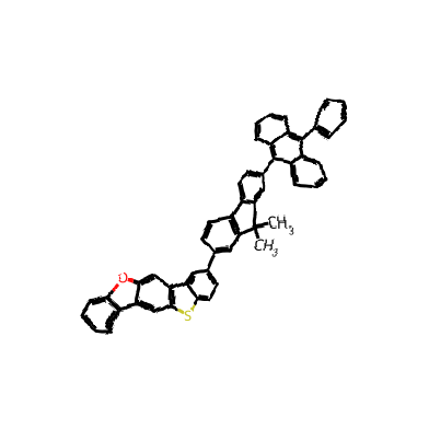 CC1(C)c2cc(-c3ccc4sc5cc6c(cc5c4c3)oc3ccccc36)ccc2-c2ccc(-c3c4ccccc4c(-c4ccccc4)c4ccccc34)cc21